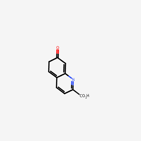 O=C1C=c2nc(C(=O)O)ccc2=CC1